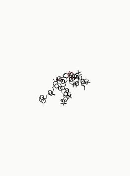 C=C1C[C@H](CCC2OCCCO2)O[C@H]1CC[C@H]1C[C@@H](C)C(=C)[C@@H](C[C@@H]2O[C@H](C[C@@H](CO[Si](C)(C)C(C)(C)C)O[Si](C)(C)C(C)(C)C)[C@H](OC)C2CCC(c2cc(CC)ccc2[SH](=O)=O)[C@H]2CC[C@@H]3O[C@@H](C(/C=C/I)O[Si](C)(C)C(C)(C)C)C(O[Si](C)(C)C(C)(C)C)C(O[Si](C)(C)C(C)(C)C)[C@H]3O2)O1